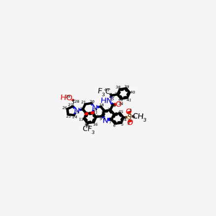 CS(=O)(=O)c1ccc2nc(-c3cccc(C(F)(F)F)c3)c(CN3CCC(N4CCC[C@@H]4CO)CC3)c(C(=O)NC(c3ccccc3)C(F)(F)F)c2c1